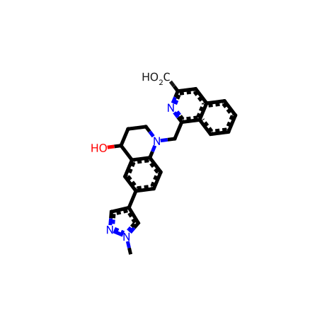 Cn1cc(-c2ccc3c(c2)C(O)CCN3Cc2nc(C(=O)O)cc3ccccc23)cn1